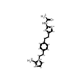 CC(=O)Nc1nc(CCc2ccc(CCn3ccnc3N)cc2)cs1